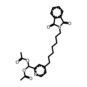 CC(=O)OC(OC(C)=O)c1cc(CCCCCCCN2C(=O)c3ccccc3C2=O)ccn1